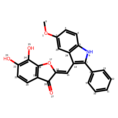 COc1ccc2[nH]c(-c3ccccc3)c(/C=C3\Oc4c(ccc(O)c4O)C3=O)c2c1